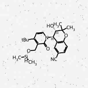 C[SiH](C)OCc1c(C(C)(C)C)ccn([C@@H]2c3cc(C#N)ccc3OC(C)(C)[C@H]2O)c1=O